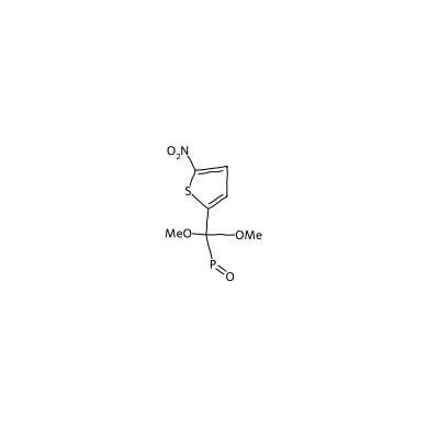 COC(OC)(P=O)c1ccc([N+](=O)[O-])s1